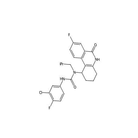 CC(C)CN(C(=O)Nc1ccc(F)c(Cl)c1)C1CCCc2[nH]c(=O)c3cc(F)ccc3c21